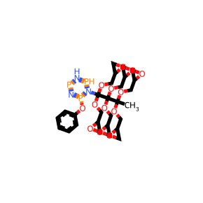 CC(OCC1CO1)(OCC1CO1)C(OCC1CO1)(OCC1CO1)C(OCC1CO1)(OCC1CO1)n1[pH][nH]pnp1Oc1ccccc1